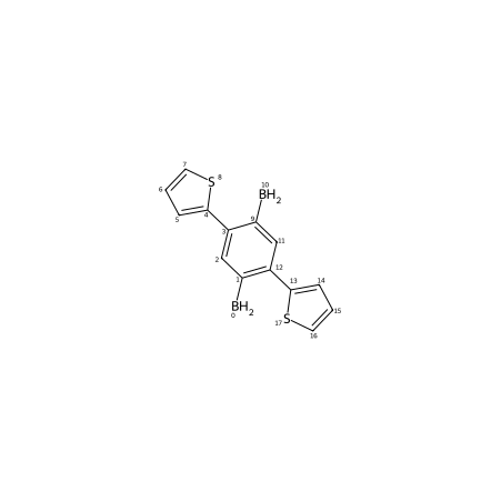 Bc1cc(-c2cccs2)c(B)cc1-c1cccs1